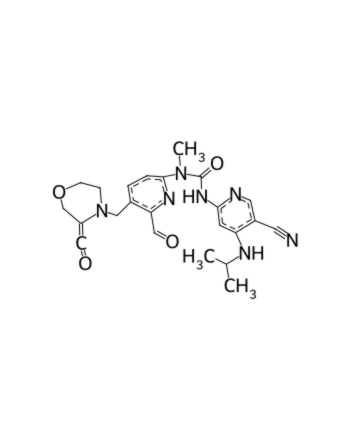 CC(C)Nc1cc(NC(=O)N(C)c2ccc(CN3CCOCC3=C=O)c(C=O)n2)ncc1C#N